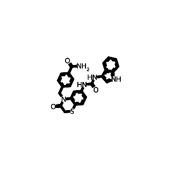 NC(=O)c1ccc(CN2C(=O)CSc3ccc(NC(=O)Nc4c[nH]c5ccccc45)cc32)cc1